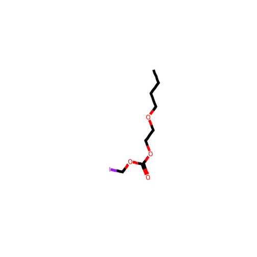 CCCCOCCOC(=O)OCI